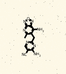 Cc1nc2nonc2c(N)c1Cc1ncc(C#N)c(N)n1